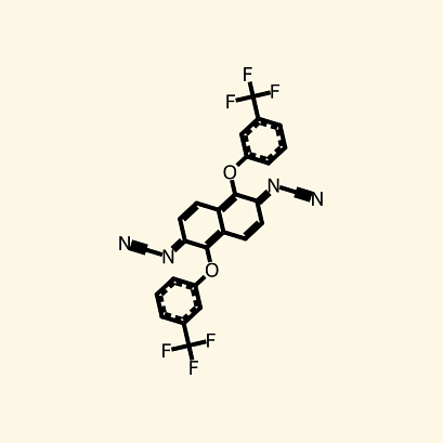 N#C/N=C1\C=CC2=C(Oc3cccc(C(F)(F)F)c3)/C(=N/C#N)C=CC2=C1Oc1cccc(C(F)(F)F)c1